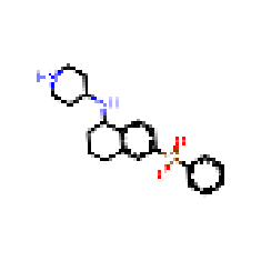 O=S(=O)(c1ccccc1)c1ccc2c(c1)CCCC2NC1CCNCC1